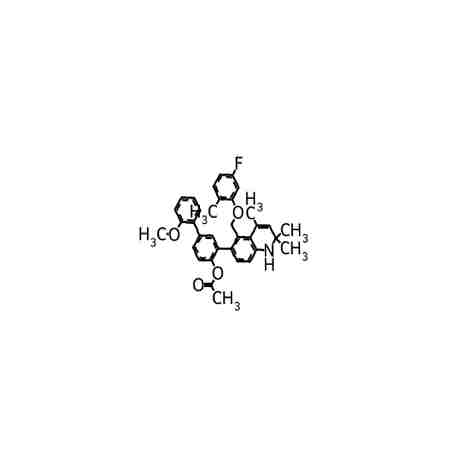 COc1ccccc1-c1ccc(OC(C)=O)c(-c2ccc3c(c2COc2cc(F)ccc2C)C(C)=CC(C)(C)N3)c1